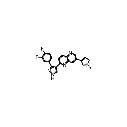 CN1CC=C(c2cnc3ccc(-c4c[nH]nc4-c4ccc(F)c(F)c4)nc3c2)C1